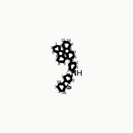 c1ccc2c(c1)-c1ccccc1C21c2ccccc2-c2ccc(-c3ccc(Nc4ccc5c(c4)sc4ccccc45)cc3)cc21